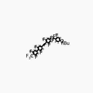 CCCCOc1ccc(C(F)(F)Oc2cc(F)c(C#Cc3cc(F)c(-c4cc(F)c(C(F)(F)F)c(F)c4)c(F)c3)c(F)c2)c(F)c1